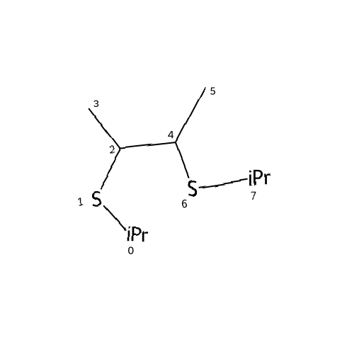 CC(C)SC(C)C(C)SC(C)C